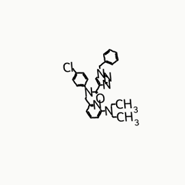 CCN(CC)c1cccc(CN(C(=O)c2cn(Cc3ccccc3)nn2)c2ccc(Cl)cc2)n1